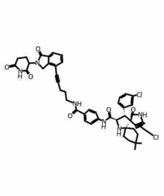 CC1(C)CCC2(CC1)N[C@@H](C(=O)Nc1ccc(C(=O)NCCCC#Cc3cccc4c3CN(C3CCC(=O)NC3=O)C4=O)cc1)[C@H](c1cccc(Cl)c1)[C@]21C(=O)Nc2cc(Cl)ccc21